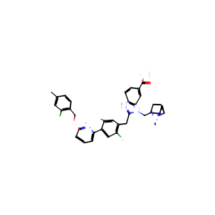 Cc1ccc(COc2cccc(-c3cc(F)c(Cc4nc5ccc(C(=O)O)cc5n4CC45CC(CN4C)C5)cc3F)n2)c(F)c1